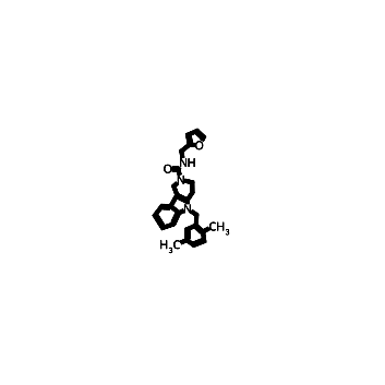 Cc1ccc(C)c(Cn2c3c(c4ccccc42)CN(C(=O)NCc2ccco2)CC3)c1